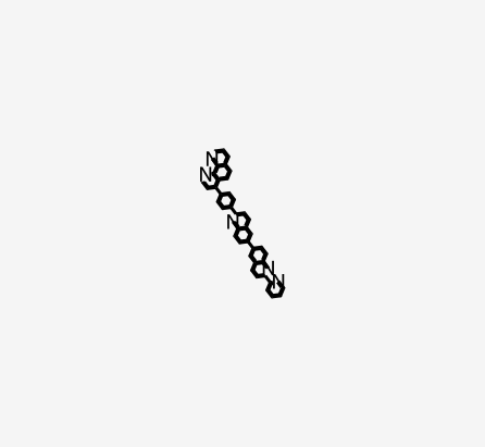 c1ccc(-c2ccc3cc(-c4ccc5nc(-c6ccc(-c7ccnc8c7ccc7cccnc78)cc6)ccc5c4)ccc3n2)nc1